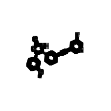 COc1cccc([C@H]2OC(=O)N[C@@H]2c2cccc(C#Cc3cncc(F)c3)c2)c1